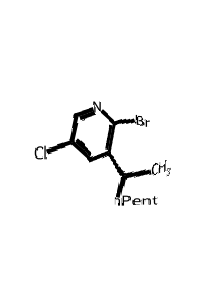 CCCCCC(C)c1cc(Cl)cnc1Br